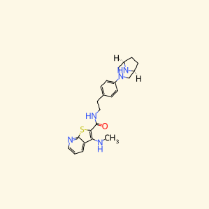 CNc1c(C(=O)NCCc2ccc(N3C[C@H]4CC[C@@H](C3)N4)cc2)sc2ncccc12